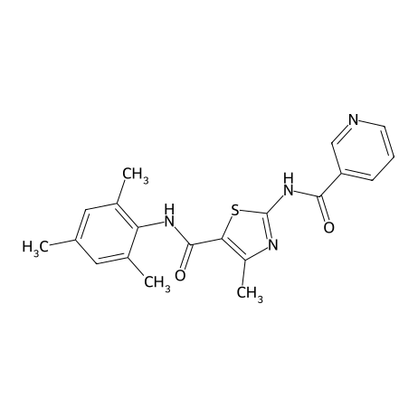 Cc1cc(C)c(NC(=O)c2sc(NC(=O)c3cccnc3)nc2C)c(C)c1